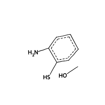 CO.Nc1ccccc1S